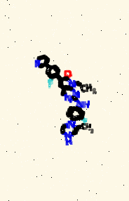 CCn1c(=O)c(-c2ccc(-c3cccnc3)cc2F)cc2cnc(Nc3ccc(N4CCNCC4C)c(F)c3)nc21